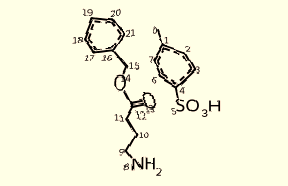 Cc1ccc(S(=O)(=O)O)cc1.NCCCC(=O)OCc1ccccc1